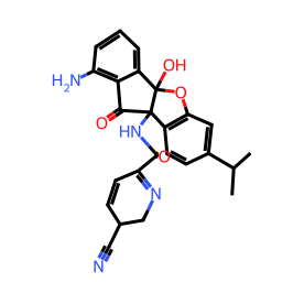 CC(C)c1ccc2c(c1)OC1(O)c3cccc(N)c3C(=O)C21NC(=O)C1=NCC(C#N)C=C1